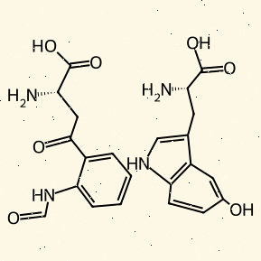 N[C@@H](CC(=O)c1ccccc1NC=O)C(=O)O.N[C@@H](Cc1c[nH]c2ccc(O)cc12)C(=O)O